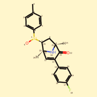 Cc1ccc([S+]([O-])[C@H]2C[C@@H]3N[C@H]2C=C(c2ccc(F)cc2)C3=O)cc1